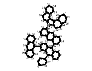 c1ccc(-c2c3ccccc3c(-c3cccc4cc5c(-n6c7ccc8ccccc8c7c7c8ccccc8ccc76)cccc5cc34)c3ccc(-c4c5ccccc5cc5ccccc45)cc23)cc1